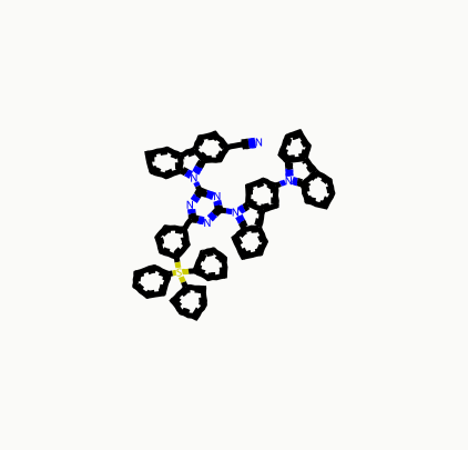 N#Cc1ccc2c3ccccc3n(-c3nc(-c4cccc(S(c5ccccc5)(c5ccccc5)c5ccccc5)c4)nc(-n4c5ccccc5c5cc(-n6c7ccccc7c7ccccc76)ccc54)n3)c2c1